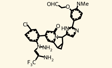 CNc1ccc(-c2ncc(C3C4CC4c4cc(-c5cc(Cl)ccc5N(N)/C=C(\N)C(F)(F)F)cc(=O)n43)[nH]2)cc1OCC=O